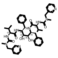 CC(C)[C@H](NC(=O)N(C)Cc1cccnc1)C(=O)N[C@@H](Cc1ccccc1)[C@H](O)[C@H](O)[C@H](Cc1ccccc1)NC(=O)[C@@H](NC(=O)N(C)Cc1cccnc1)C(C)C